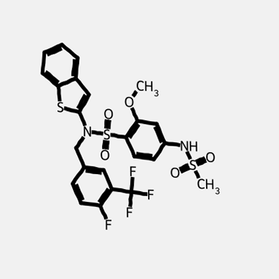 COc1cc(NS(C)(=O)=O)ccc1S(=O)(=O)N(Cc1ccc(F)c(C(F)(F)F)c1)c1cc2ccccc2s1